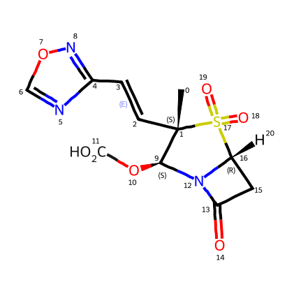 C[C@]1(/C=C/c2ncon2)[C@H](OC(=O)O)N2C(=O)C[C@H]2S1(=O)=O